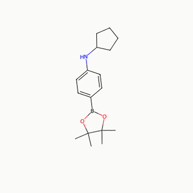 CC1(C)OB(c2ccc(NC3CCCC3)cc2)OC1(C)C